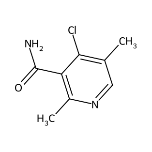 Cc1cnc(C)c(C(N)=O)c1Cl